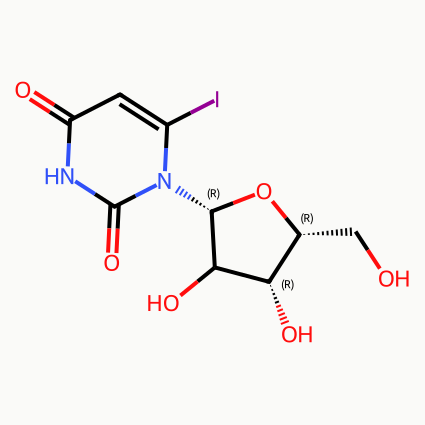 O=c1cc(I)n([C@@H]2O[C@H](CO)[C@H](O)C2O)c(=O)[nH]1